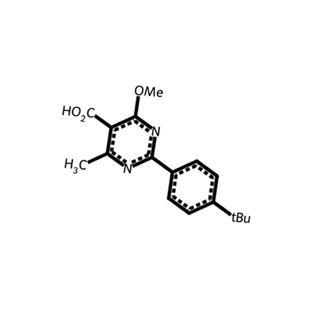 COc1nc(-c2ccc(C(C)(C)C)cc2)nc(C)c1C(=O)O